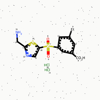 CCc1cc(C(=O)O)cc(S(=O)(=O)c2cnc(CN)s2)c1.Cl.Cl